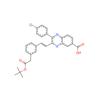 CC(C)(C)OC(=O)Cc1cccc(C=Cc2nc3cc(C(=O)O)ccc3nc2-c2ccc(Cl)cc2)c1